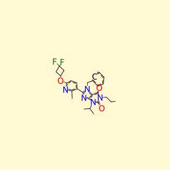 CCCn1c(=O)c2c(nc(-c3ccc(OC4CC(F)(F)C4)nc3C)n2Cc2ccccc2)n(C(C)C)c1=O